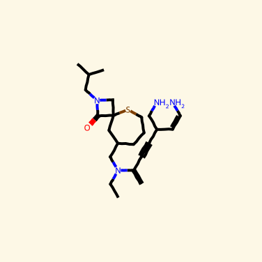 C=C(C#CC(/C=C\N)CN)N(CC)CC1CCCSC2(C1)CN(CC(C)C)C2=O